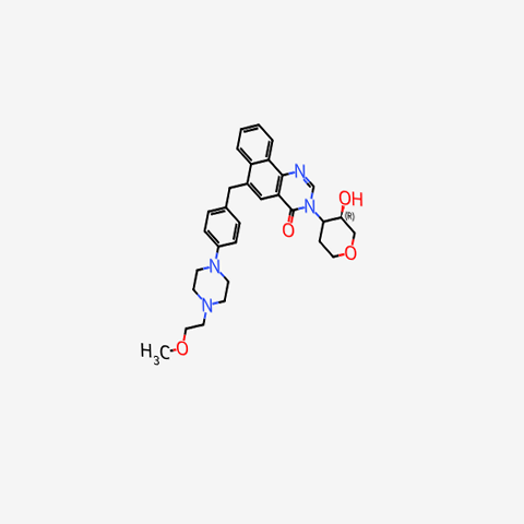 COCCN1CCN(c2ccc(Cc3cc4c(=O)n(C5CCOC[C@@H]5O)cnc4c4ccccc34)cc2)CC1